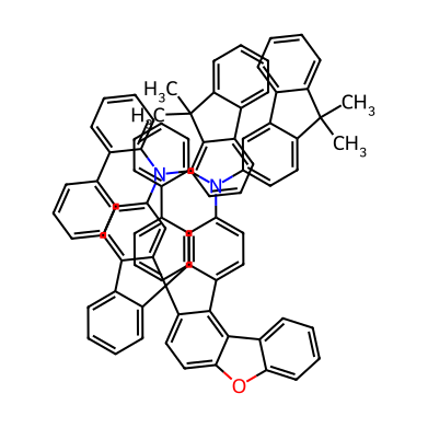 CC1(C)c2ccccc2-c2cc(N(c3ccc4c(c3)C3(c5ccccc5-c5ccc(N(c6ccccc6-c6ccccc6)c6cccc7c6C(C)(C)c6ccccc6-7)cc53)c3ccc5oc6ccccc6c5c3-4)c3ccccc3-c3ccccc3)ccc21